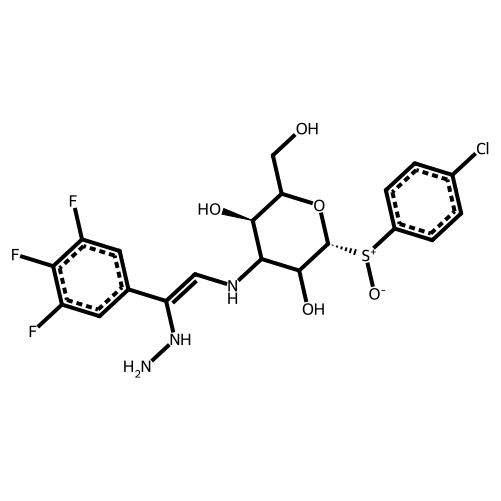 NN/C(=C\NC1C(O)[C@@H]([S+]([O-])c2ccc(Cl)cc2)OC(CO)[C@@H]1O)c1cc(F)c(F)c(F)c1